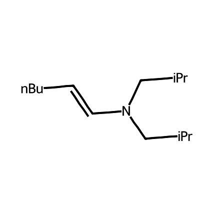 CCCC/C=C/N(CC(C)C)CC(C)C